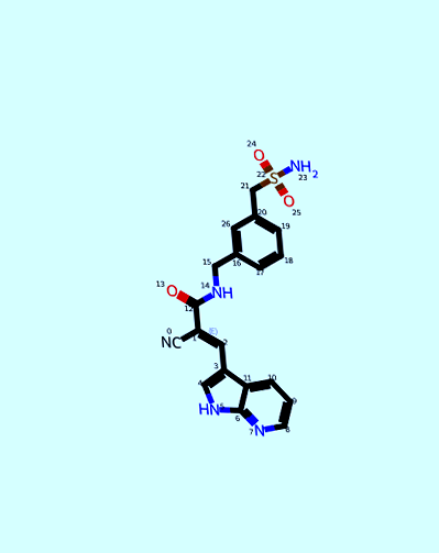 N#C/C(=C\c1c[nH]c2ncccc12)C(=O)NCc1cccc(CS(N)(=O)=O)c1